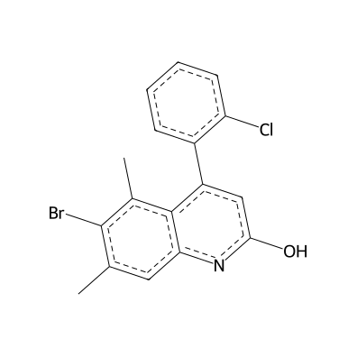 Cc1cc2nc(O)cc(-c3ccccc3Cl)c2c(C)c1Br